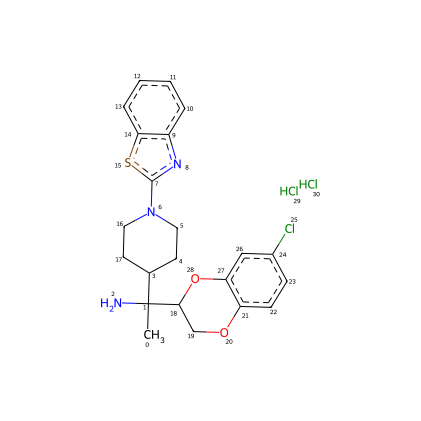 CC(N)(C1CCN(c2nc3ccccc3s2)CC1)C1COc2ccc(Cl)cc2O1.Cl.Cl